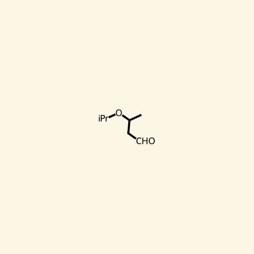 CC(C)OC(C)CC=O